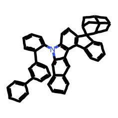 c1ccc(-c2cccc(-c3ccccc3-n3c4cc5ccccc5cc4c4c5c(ccc43)C3(c4ccccc4-5)C4CC5CC(C4)CC3C5)c2)cc1